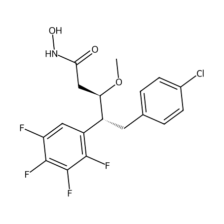 CO[C@H](CC(=O)NO)[C@H](Cc1ccc(Cl)cc1)c1cc(F)c(F)c(F)c1F